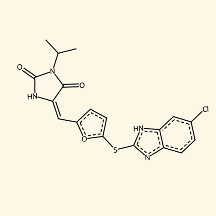 CC(C)N1C(=O)NC(=Cc2ccc(Sc3nc4ccc(Cl)cc4[nH]3)o2)C1=O